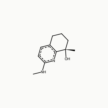 CNc1ccc2c(n1)[C@@](C)(O)CCC2